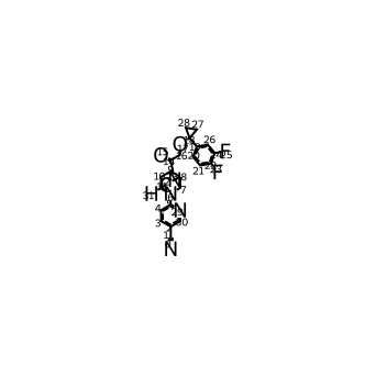 N#Cc1ccc(N2CC3CC[C@@H]2CN3C(=O)COC2(c3ccc(F)c(F)c3)CC2)nc1